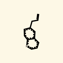 C=CCc1ccc2ncccc2c1